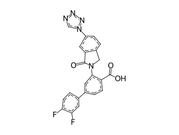 O=C(O)c1ccc(-c2ccc(F)c(F)c2)cc1N1Cc2ccc(-n3cnnn3)cc2C1=O